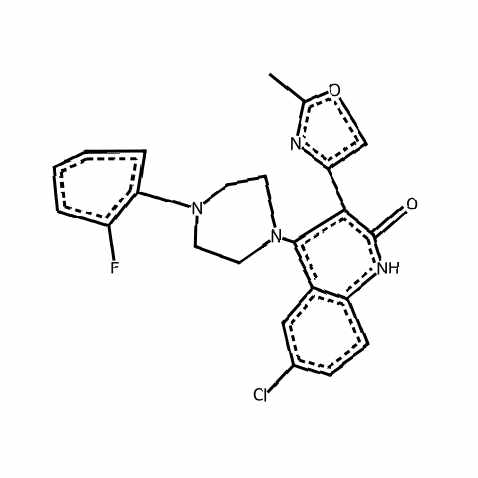 Cc1nc(-c2c(N3CCN(c4ccccc4F)CC3)c3cc(Cl)ccc3[nH]c2=O)co1